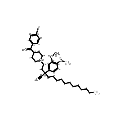 CCCCCCCCCCCCC(C#N)(CCN1CCC(C(=O)c2ccc(F)cc2)CC1)c1ccc(OC)c(OC)c1